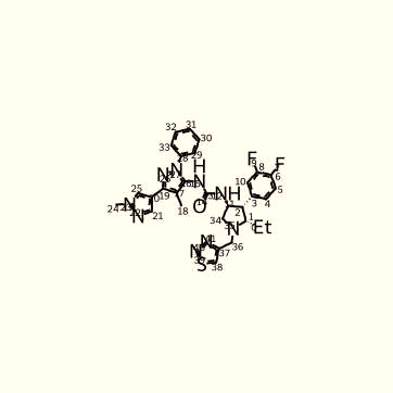 CC[C@H]1[C@@H](c2ccc(F)c(F)c2)[C@H](NC(=O)Nc2c(C)c(-c3cnn(C)c3)nn2-c2ccccc2)CN1Cc1csnn1